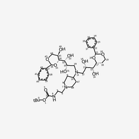 CC(C)(C)OC(=O)NCCN1CCC(N(C[C@H](O)[C@@H](O)[C@H]2CCOC(c3ccccc3)O2)C[C@H](O)[C@@H](O)[C@@H]2OC(c3ccccc3)OC[C@H]2O)CC1